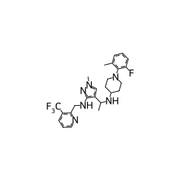 Cc1cccc(F)c1N1CCC(NC(C)c2cn(C)nc2NCc2ncccc2C(F)(F)F)CC1